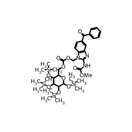 COC(=O)Nc1nc2cc(C(=O)c3ccccc3)ccc2n1COC(=O)OCC1OC(O[Si](C)(C)C)C(O[Si](C)(C)C)C(O[Si](C)(C)C)C1O[Si](C)(C)C